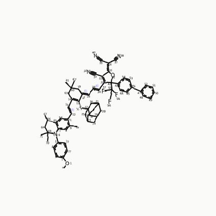 COc1ccc(N2c3cc(C)c(/C=C/C4=C(SC56CC7CC(CC(C7)C5)C6)C(=C/C=C/C5=C(C#N)C(=C(C#N)C#N)OC5(c5ccc(-c6ccccc6)cc5)C(F)(F)F)/CC(C)(C)C4)cc3C(C)CC2(C)C)cc1